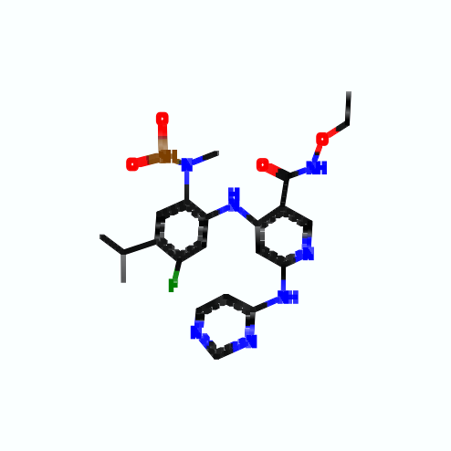 CCONC(=O)c1cnc(Nc2ccncn2)cc1Nc1cc(F)c(C(C)C)cc1N(C)[SH](=O)=O